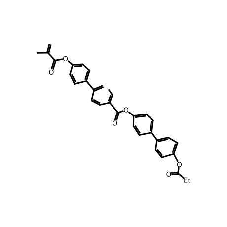 C=C(C)C(=O)Oc1ccc(C(=C)/C=C\C(=C/C)C(=O)Oc2ccc(-c3ccc(OC(=O)CC)cc3)cc2)cc1